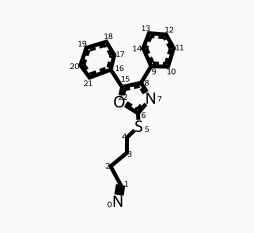 N#CCCCSc1nc(-c2ccccc2)c(-c2ccccc2)o1